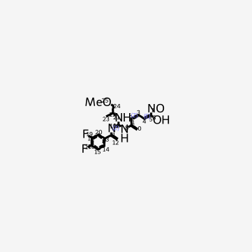 C=C(/C=C\C=C(\O)N=O)N/C(=N\C(=C)c1ccc(F)c(F)c1)NC(C)COC